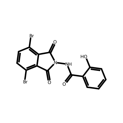 O=C(NN1C(=O)c2c(Br)ccc(Br)c2C1=O)c1ccccc1O